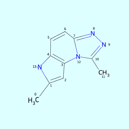 CC1=Cc2c(ccc3nnc(C)n23)[N]1